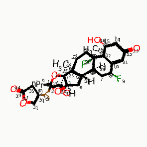 CCCC1O[C@@H]2C[C@H]3[C@@H]4C[C@H](F)C5=CC(=O)C[C@@H](O)[C@]5(C)[C@@]4(F)CC[C@]3(C)[C@]2(C(=O)CS[C@H]2COC(=O)C2)O1